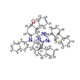 c1ccc2cc3c(cc2c1)c1ccccc1n3-c1ccc2oc3ccccc3c2c1-c1nc(-c2cccc3ccccc23)nc(-c2cccc3c2sc2ccccc23)n1